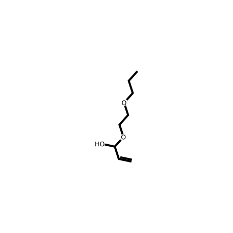 C=CC(O)OCCOCCC